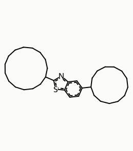 c1cc2sc(C3CCCCCCCCCCCCCC3)nc2cc1C1CCCCCCCCCCCC1